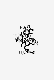 CC(=O)O[C@H]1C(C)=CC2[C@H]([C@@H](C)CNC3CC3)CC[C@@H](C)[C@]2(O)[C@H]1[C@]1(C(=O)O)C[C@@]2(OC(=O)OC(C)(C)C)c3cccc(Cl)c3N(C)O[C@H]2[N+]1(C(=O)[O-])C(C)(C)C